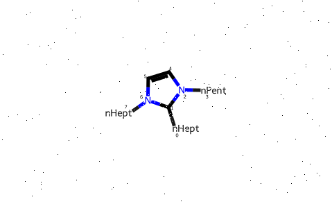 CCCCCCCC1N(CCCCC)C=CN1CCCCCCC